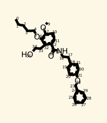 CCCCCOc1c(OC)ccc(C(=O)NCCc2ccc(OCc3ccccc3)cc2)c1CCO